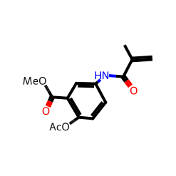 C=C(C)C(=O)Nc1ccc(OC(C)=O)c(C(=O)OC)c1